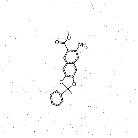 COC(=O)c1cc2cc3c(cc2cc1N)OC(C)(c1ccccc1)O3